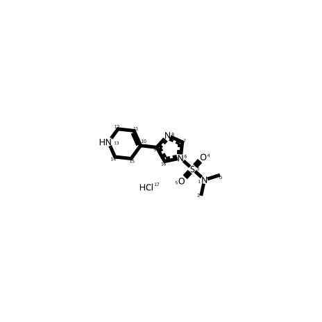 CN(C)S(=O)(=O)n1cnc(C2=CCNCC2)c1.Cl